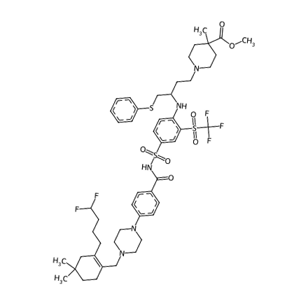 COC(=O)C1(C)CCN(CCC(CSc2ccccc2)Nc2ccc(S(=O)(=O)NC(=O)c3ccc(N4CCN(CC5=C(CCCC(F)F)CC(C)(C)CC5)CC4)cc3)cc2S(=O)(=O)C(F)(F)F)CC1